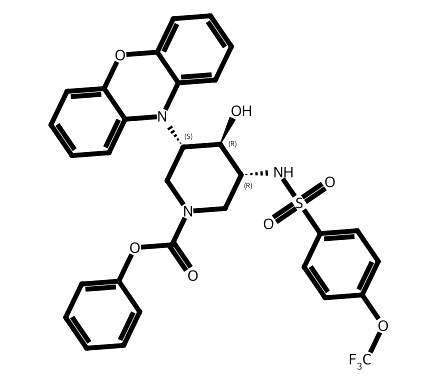 O=C(Oc1ccccc1)N1C[C@@H](NS(=O)(=O)c2ccc(OC(F)(F)F)cc2)[C@H](O)[C@@H](N2c3ccccc3Oc3ccccc32)C1